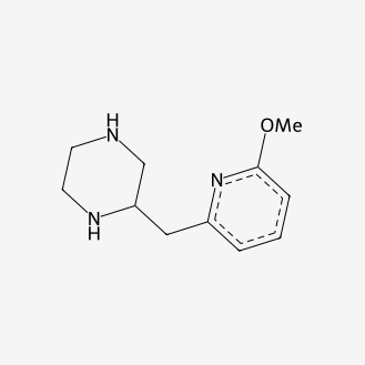 COc1cccc(CC2CNCCN2)n1